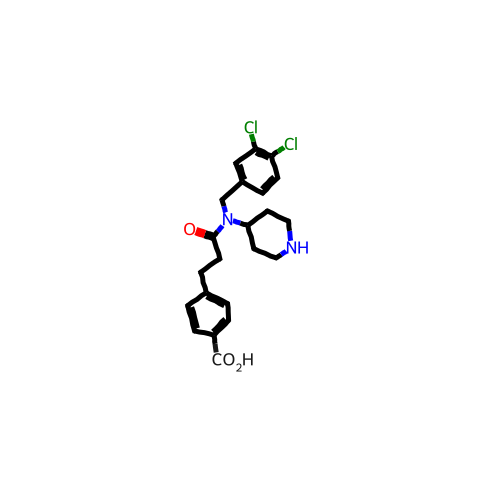 O=C(O)c1ccc(CCC(=O)N(Cc2ccc(Cl)c(Cl)c2)C2CCNCC2)cc1